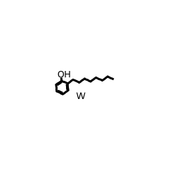 CCCCCCCCc1ccccc1O.[W]